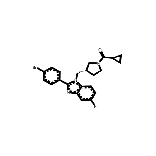 O=C(C1CC1)N1CC[C@H](Cn2c(-c3ccc(Br)cc3)nc3cc(F)ccc32)C1